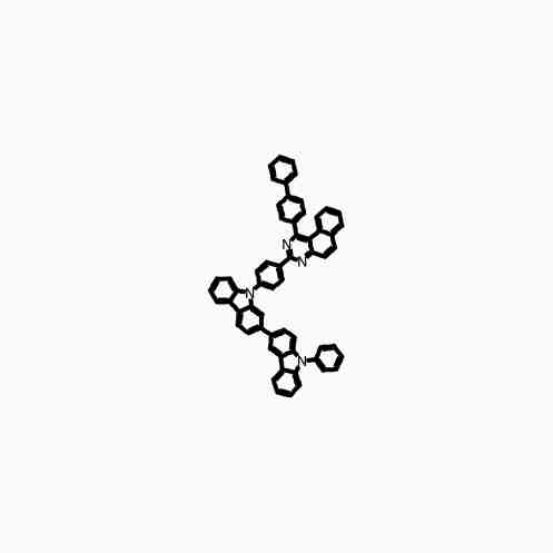 c1ccc(-c2ccc(-c3nc(-c4ccc(-n5c6ccccc6c6ccc(-c7ccc8c(c7)c7ccccc7n8-c7ccccc7)cc65)cc4)nc4ccc5ccccc5c34)cc2)cc1